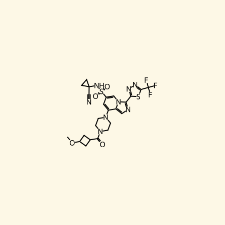 COC1CC(C(=O)N2CCN(c3cc(S(=O)(=O)NC4(C#N)CC4)cn4c(-c5nnc(C(F)(F)F)s5)ncc34)CC2)C1